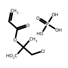 C=CC(=O)OC(C)(CCl)C(=O)O.O=P(O)(O)O